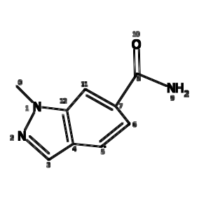 Cn1ncc2[c]cc(C(N)=O)cc21